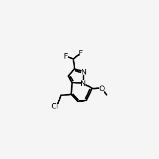 COc1ccc(CCl)c2cc(C(F)F)nn12